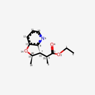 CCOC(=O)[C@@H](C)[C@H]1c2ncccc2O[C@@H]1C